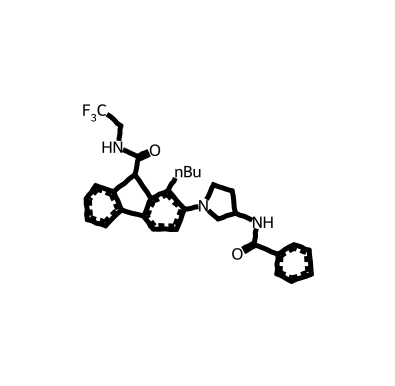 CCCCc1c(N2CCC(NC(=O)c3ccccc3)C2)ccc2c1C(C(=O)NCC(F)(F)F)c1ccccc1-2